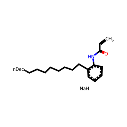 C=CC(=O)Nc1ccccc1CCCCCCCCCCCCCCCCCC.[NaH]